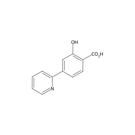 O=C(O)c1ccc(-c2ccccn2)cc1O